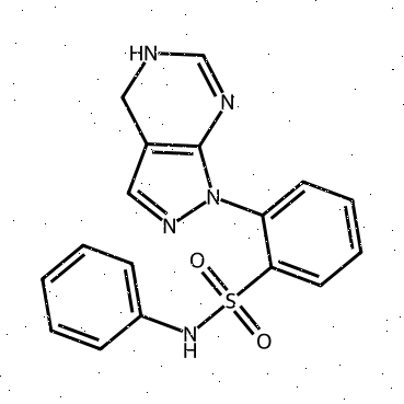 O=S(=O)(Nc1ccccc1)c1ccccc1-n1ncc2c1N=CNC2